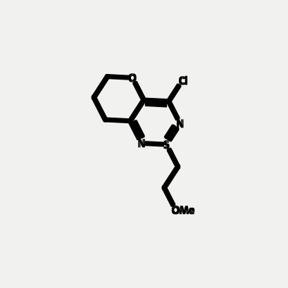 COCCS1=NC(Cl)=C2OCCCC2=N1